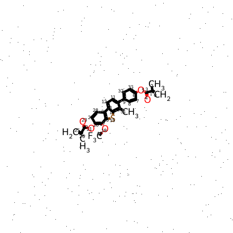 C=C(C)C(=O)Oc1ccc(-c2ccc3c(sc4c(OC(F)(F)F)c(OC(=O)C(=C)C)ccc43)c2C)cc1